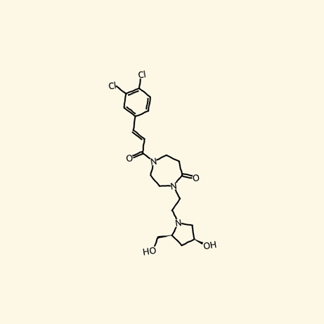 O=C(C=Cc1ccc(Cl)c(Cl)c1)N1CCC(=O)N(CCN2C[C@@H](O)C[C@H]2CO)CC1